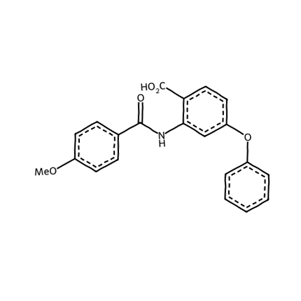 COc1ccc(C(=O)Nc2cc(Oc3ccccc3)ccc2C(=O)O)cc1